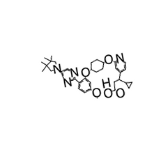 COc1ccc(-c2ncc(N3CC(C)(C)C(C)(C)C3)cn2)c(O[C@H]2CC[C@@H](Oc3cc(C(CC(=O)O)C4CC4)ccn3)CC2)c1